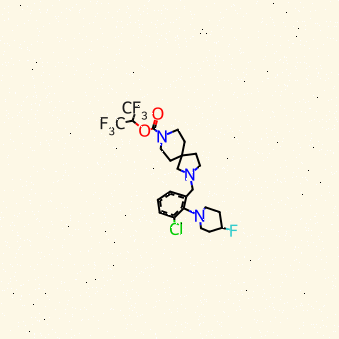 O=C(OC(C(F)(F)F)C(F)(F)F)N1CCC2(CCN(Cc3cccc(Cl)c3N3CCC(F)CC3)C2)CC1